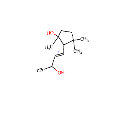 CCCC(O)/C=C/C1C(C)(C)CCC1(C)O